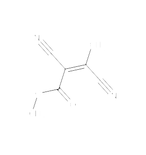 COC(=O)C(C#N)=C(C)C#N